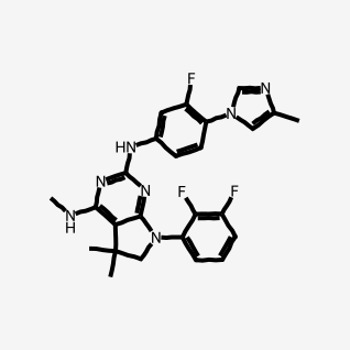 CNc1nc(Nc2ccc(-n3cnc(C)c3)c(F)c2)nc2c1C(C)(C)CN2c1cccc(F)c1F